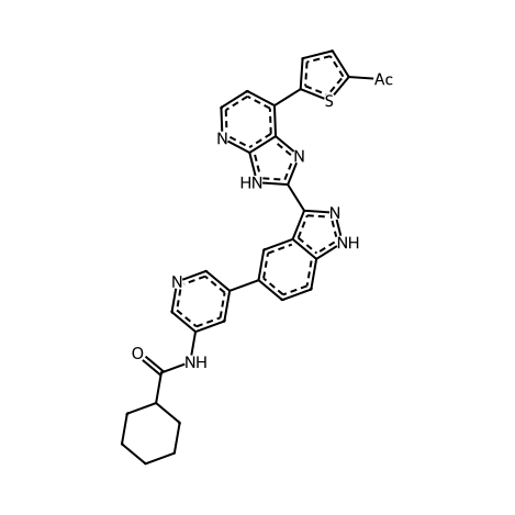 CC(=O)c1ccc(-c2ccnc3[nH]c(-c4n[nH]c5ccc(-c6cncc(NC(=O)C7CCCCC7)c6)cc45)nc23)s1